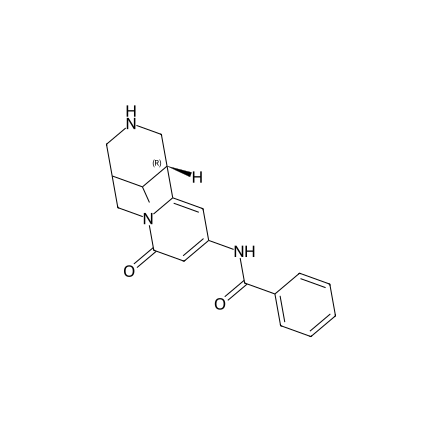 CC1C2CNC[C@@H]1c1cc(NC(=O)c3ccccc3)cc(=O)n1C2